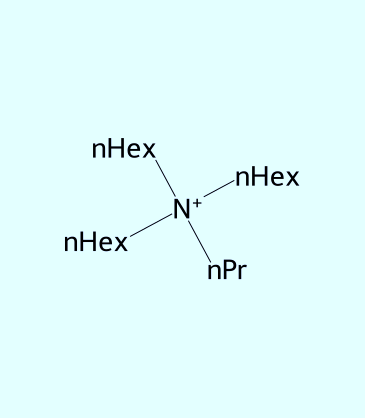 CCCCCC[N+](CCC)(CCCCCC)CCCCCC